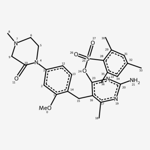 COc1cc(N2CCN(C)CC2=O)ccc1Cc1c(C)nc(N)nc1OS(=O)(=O)c1c(C)cc(C)cc1C